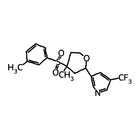 Cc1cccc(S(=O)(=O)C2(C)CCOC(c3cncc(C(F)(F)F)c3)C2)c1